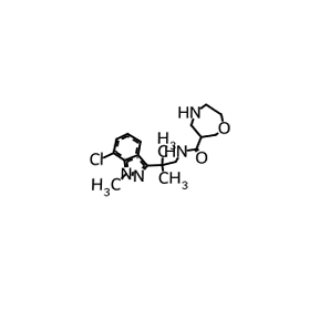 Cn1nc(C(C)(C)CNC(=O)C2CNCCOC2)c2cccc(Cl)c21